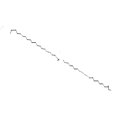 CCCCCCCC[C@H](C)[C@H](CCCCCCCCCCCCCCCC[C@H](C)[C@H]1C[C@@H]1CCCCCCCCCCCCCCCCCC[C@@H](O)CC(=O)O)OC